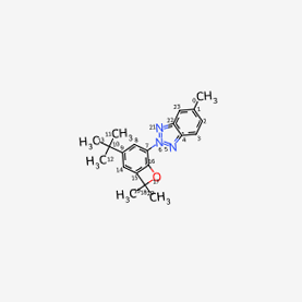 Cc1ccc2nn(-c3cc(C(C)(C)C)cc4c3OC4(C)C)nc2c1